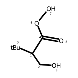 CC(C)(C)C(CO)C(=O)OO